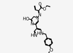 C=C/C(=N\N1C=C(/C(C=N)=C/NCc2ccc(OC)cc2)N=C(O)C1)C(=O)OCC